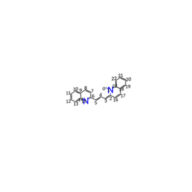 CN1C(=CC=Cc2ccc3ccccc3n2)C=Cc2ccccc21